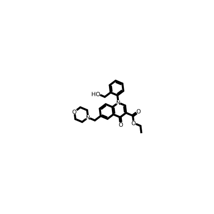 CCOC(=O)c1cn(-c2ccccc2CO)c2ccc(CN3CCOCC3)cc2c1=O